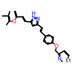 C=C(/C=C/c1cc(/C=C/c2ccc(OCC(/C=C\CC)=N/C)cc2)n[nH]1)OC(C)=C(C)C